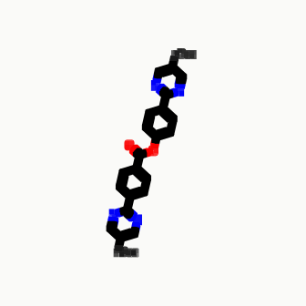 CCCCCCCCCCc1cnc(-c2ccc(OC(=O)c3ccc(-c4ncc(CCCCCCCCCC)cn4)cc3)cc2)nc1